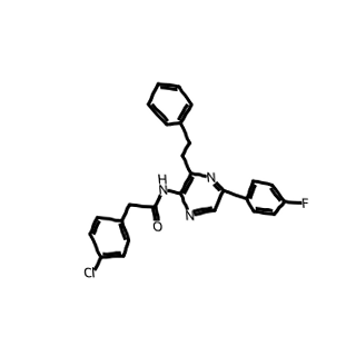 O=C(Cc1ccc(Cl)cc1)Nc1ncc(-c2ccc(F)cc2)nc1CCc1ccccc1